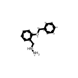 NNCc1ccccc1OCc1ccccc1